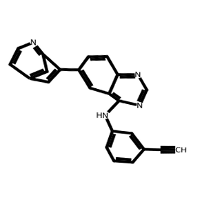 C#Cc1cccc(Nc2ncnc3ccc(C4=Cc5ccnc4c5)cc23)c1